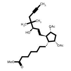 CC#CCC(C)(C)[C@H](O)C=C[C@@H]1[C@@H](CCCCCCC(=O)OC)[C@@H](OC(C)=O)C[C@H]1OC(C)=O